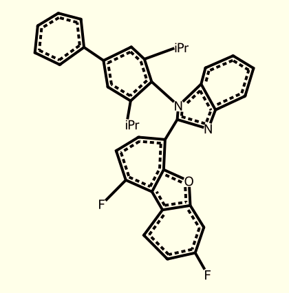 CC(C)c1cc(-c2ccccc2)cc(C(C)C)c1-n1c(-c2ccc(F)c3c2oc2cc(F)ccc23)nc2ccccc21